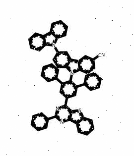 N#Cc1ccc2c(c1)c1cc(-n3c4ccccc4c4ccccc43)ccc1n2-c1c(-c2ccccc2)cc(-c2nc(-c3ccccc3)nc3c2sc2ccccc23)cc1-c1ccccc1